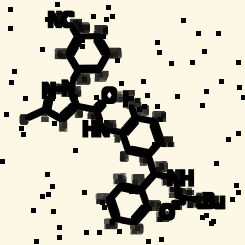 Cc1cc(C(=O)Nc2cc(C(N[S@+]([O-])C(C)(C)C)c3ccccc3)ccc2F)n(-c2cccc(C#N)c2)n1